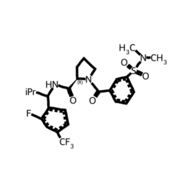 CC(C)C(NC(=O)[C@H]1CCCN1C(=O)c1cccc(S(=O)(=O)N(C)C)c1)c1ccc(C(F)(F)F)cc1F